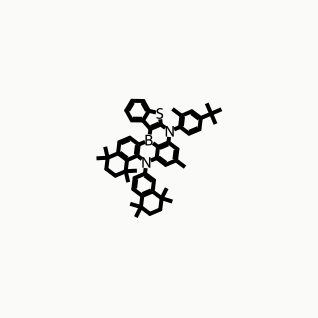 Cc1cc2c3c(c1)N(c1ccc4c(c1)C(C)(C)CCC4(C)C)c1c(ccc4c1C(C)(C)CCC4(C)C)B3c1c(sc3ccccc13)N2c1ccc(C(C)(C)C)cc1C